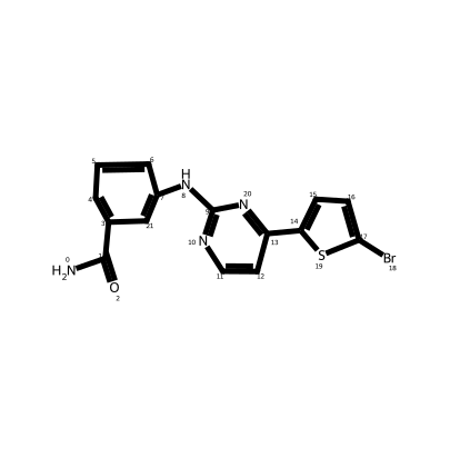 NC(=O)c1cccc(Nc2nccc(-c3ccc(Br)s3)n2)c1